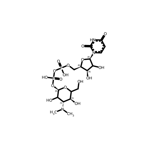 CN(C)[C@@H]1C(O)[C@@H](OP(=O)(O)OP(=O)(O)OC[C@H]2O[C@@H](n3ccc(=O)[nH]c3=O)C(O)[C@H]2O)OC(CO)[C@H]1O